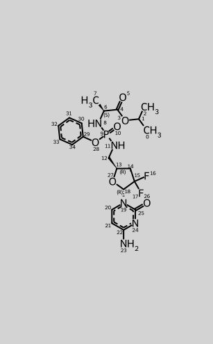 CC(C)OC(=O)[C@H](C)NP(=O)(NC[C@H]1[CH]C(F)(F)[C@H](n2ccc(N)nc2=O)O1)Oc1ccccc1